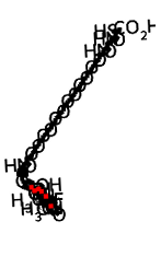 C[C@]12C=CC(=O)C=C1[C@@H](F)C[C@H]1C3C[C@H]4O[C@@H](c5ccc(Oc6ccc(NC(=O)CCOCCOCCOCCOCCOCCOCCOCCOCCOCCOCCOCCOCCNC(=O)CCNC(=O)C(S)CC(=O)O)cc6)cc5)O[C@@]4(C(=O)CO)[C@@]3(C)C[C@H](O)[C@@]12F